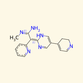 C/N=C(N)\C(=C1\N=CC(C2=CC=NCC2)=CN1)c1ccccn1